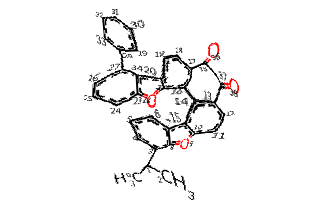 CC(C)c1cccc2c1oc1ccc3c(c12)-c1c(ccc2c1oc1cccc(-c4ccccc4)c12)C(=O)C3=O